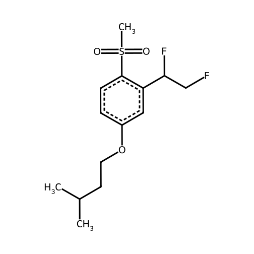 CC(C)CCOc1ccc(S(C)(=O)=O)c(C(F)CF)c1